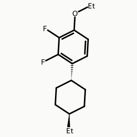 CCOc1ccc([C@H]2CC[C@H](CC)CC2)c(F)c1F